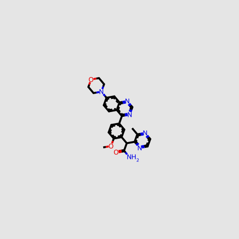 COc1ccc(-c2ncnc3cc(N4CCOCC4)ccc23)cc1C(C(N)=O)c1nccnc1C